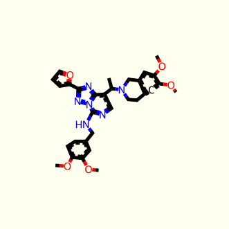 COc1ccc(CNc2ncc(C(C)N3CCc4cc(OC)c(OC)cc4C3)c3nc(-c4ccco4)nn23)cc1OC